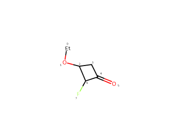 CCOC1CC(=O)C1F